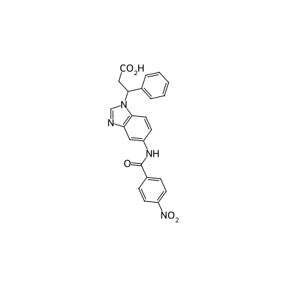 O=C(O)CC(c1ccccc1)n1cnc2cc(NC(=O)c3ccc([N+](=O)[O-])cc3)ccc21